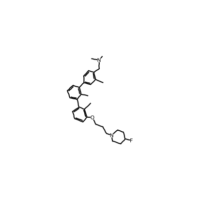 Cc1cc(-c2cccc(-c3cccc(OCCCN4CCC(F)CC4)c3C)c2C)ccc1CN(C)C